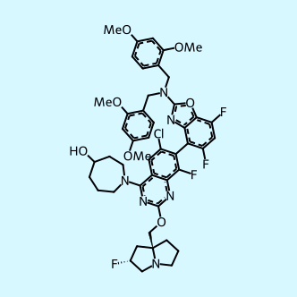 COc1ccc(CN(Cc2ccc(OC)cc2OC)c2nc3c(-c4c(Cl)cc5c(N6CCCC(O)CC6)nc(OC[C@@]67CCCN6C[C@H](F)C7)nc5c4F)c(F)cc(F)c3o2)c(OC)c1